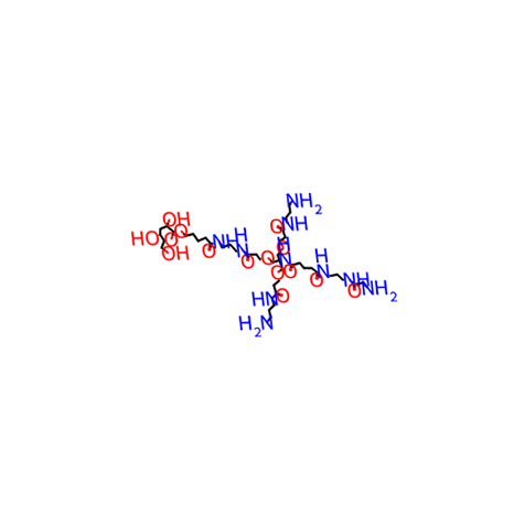 NCCCNC(=O)CCOCC(COCCC(=O)NCCCN)(COCCC(=O)NCCCNC(=O)CCCCO[C@@H]1OC(CO)[C@@H](O)CC1O)NC(=O)CCCC(=O)NCCCNC(=O)CN